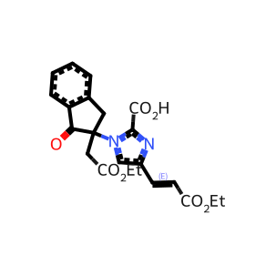 CCOC(=O)/C=C/c1cn(C2(CC(=O)OCC)Cc3ccccc3C2=O)c(C(=O)O)n1